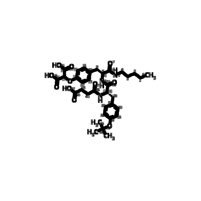 CCCCCNC(=O)[C@H](Cc1ccc(OC(C(=O)O)C(=O)O)cc1)NC(=O)[C@H](Cc1ccc(OC(C)(C)C)cc1)NC(=O)CCC(=O)O